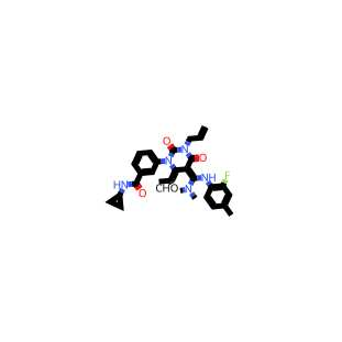 C=CCn1c(=O)c(=C(\Nc2ccc(C)cc2F)N(C)C)/c(=C(/C)C=O)n(-c2cccc(C(=O)NC3CC3)c2)c1=O